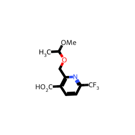 COC(C)OCc1nc(C(F)(F)F)ccc1C(=O)O